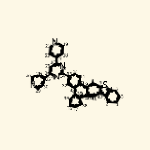 c1ccc2c(c1)sc1cc3c4ccc(-c5nc(-c6ccncc6)cc(-c6ccncc6)n5)cc4c4ccccc4c3cc12